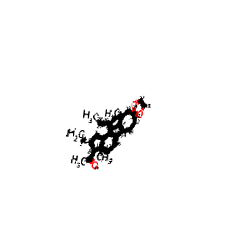 C=C[C@@H]1CC2C3CCC4(C)CC5(CCC(C3=CC[C@]2(C)C1C(C)=O)C4CCCC)OCCO5